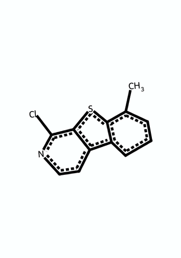 Cc1cccc2c1sc1c(Cl)nccc12